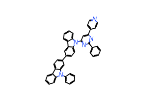 c1ccc(-c2nc(-c3ccncc3)cc(-n3c4ccccc4c4cc(-c5ccc6c7ccccc7n(-c7ccccc7)c6c5)ccc43)n2)cc1